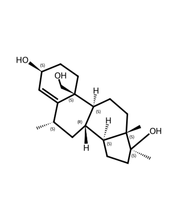 C[C@H]1C[C@@H]2[C@H](CC[C@@]3(C)[C@H]2CC[C@]3(C)O)[C@@]2(CO)CC[C@H](O)C=C12